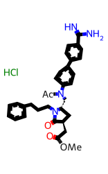 COC(=O)C[C@@H]1C[C@@H](CN(C(C)=O)c2ccc(-c3ccc(C(=N)N)cc3)cc2)N(CCCc2ccccc2)C1=O.Cl